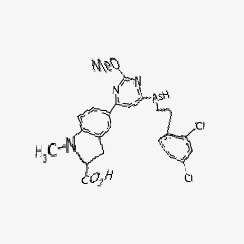 COc1nc([AsH]CCc2ccc(Cl)cc2Cl)cc(-c2ccc3c(c2)CC(C(=O)O)N3C)n1